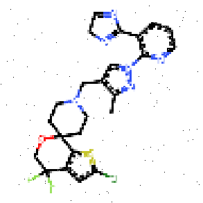 Cc1nn(-c2ncccc2C2=NCC=N2)cc1CN1CCC2(CC1)OCC(F)(F)c1cc(Cl)sc12